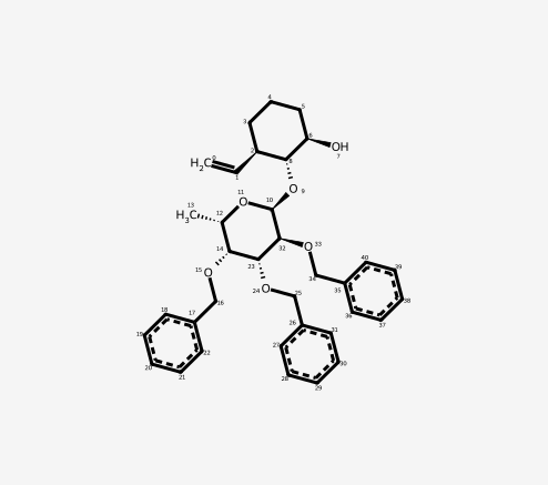 C=C[C@H]1CCC[C@@H](O)[C@@H]1O[C@@H]1O[C@@H](C)[C@@H](OCc2ccccc2)[C@@H](OCc2ccccc2)[C@@H]1OCc1ccccc1